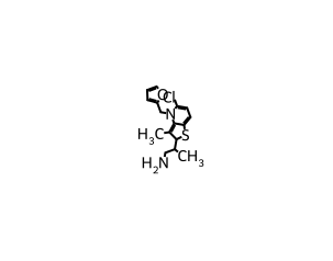 CC1=C2C(=CC=C(Cl)N2Cc2ccco2)SC1C(C)CN